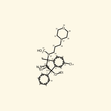 CCOC(OCC)(c1ccccc1)c1cc(Cl)ccc1C(C)(C(N)=O)N(CCCN1CCOCC1)C(=O)O